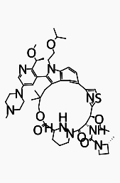 CCO[C@@H]1c2nc(cs2)-c2ccc3c(c2)c(c(-c2cc(N4CCN(C)CC4)cnc2[C@H](C)OC)n3CCOC(C)C)CC(C)(C)COC(=O)[C@@H]2CCCN(N2)C(=O)[C@H]1NC(=O)N1CC[C@H]1C